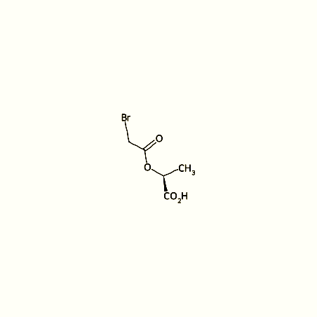 C[C@H](OC(=O)CBr)C(=O)O